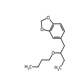 CCCCOC(CC)Cc1ccc2c(c1)OCO2